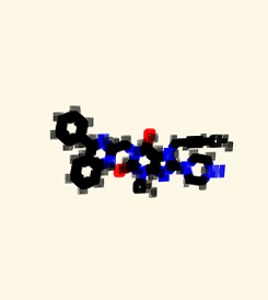 CC#CCn1c(N2CCNCC2)nc2c1c(=O)n(Cc1nc(-c3ccccc3)c3ccccc3n1)c(=O)n2C